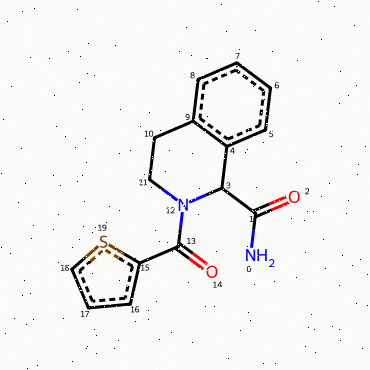 NC(=O)C1c2cc[c]cc2CCN1C(=O)c1cccs1